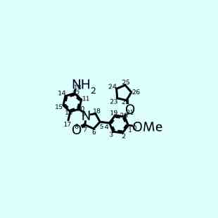 COc1ccc(C2CC(=O)N(c3cc(N)ccc3C)C2)cc1OC1CCCC1